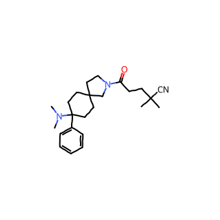 CN(C)C1(c2ccccc2)CCC2(CCN(C(=O)CCC(C)(C)C#N)C2)CC1